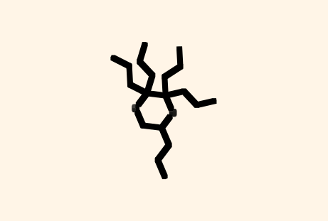 CCCC1COC(CCC)(CCC)C(CCC)(CCC)O1